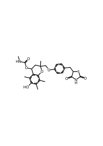 CNC(=O)OC1CC(C)(COc2ccc(CC3SC(=O)NC3=O)cc2)Oc2c(C)c(C)c(O)c(C)c21